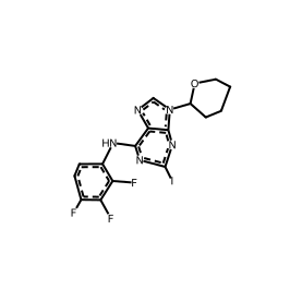 Fc1ccc(Nc2nc(I)nc3c2ncn3C2CCCCO2)c(F)c1F